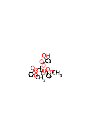 CCC(COC(=O)c1ccccc1CO)(COC(=O)c1ccccc1OC)COC(=O)c1ccccc1OC